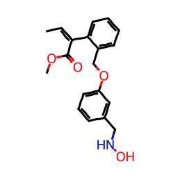 CC=C(C(=O)OC)c1ccccc1COc1cccc(CNO)c1